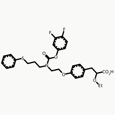 CCOC(Cc1ccc(OCCN(CCCSc2ccccc2)C(=O)Oc2ccc(F)c(F)c2)cc1)C(=O)O